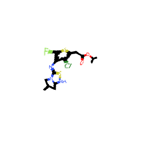 CC1CC2NSC(=Nc3c(F)sc(CC(=O)OC(C)C)c3Cl)N2C1